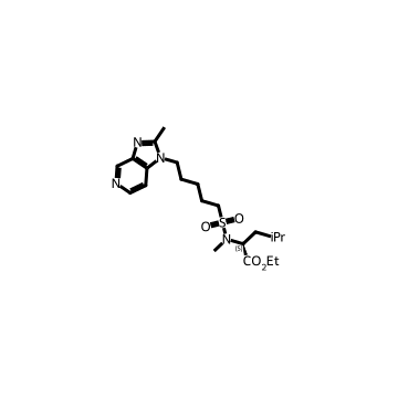 CCOC(=O)[C@H](CC(C)C)N(C)S(=O)(=O)CCCCCn1c(C)nc2cnccc21